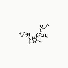 Cn1cc(Nc2ncc(Cl)c(N3CC4CN(C(=O)CC#N)CC4(C)C3)n2)cn1